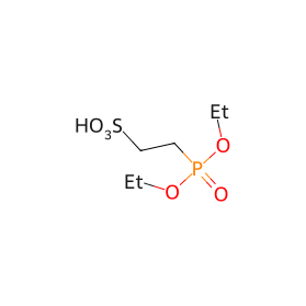 CCOP(=O)(CCS(=O)(=O)O)OCC